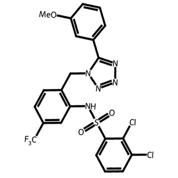 COc1cccc(-c2nnnn2Cc2ccc(C(F)(F)F)cc2NS(=O)(=O)c2cccc(Cl)c2Cl)c1